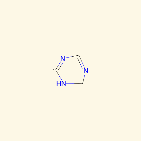 [C]1=NC=NCN1